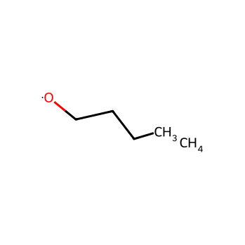 C.CCCC[O]